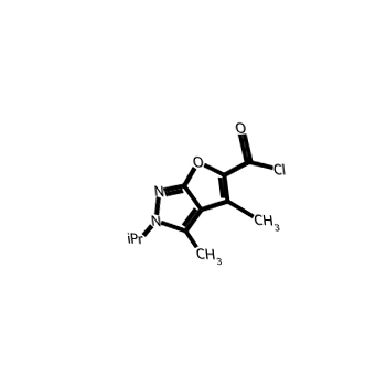 Cc1c(C(=O)Cl)oc2nn(C(C)C)c(C)c12